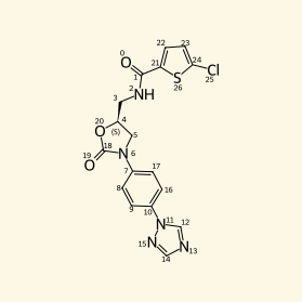 O=C(NC[C@H]1CN(c2ccc(-n3cncn3)cc2)C(=O)O1)c1ccc(Cl)s1